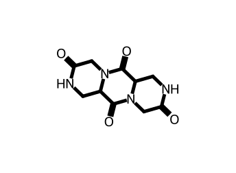 O=C1CN2C(=O)C3CNC(=O)CN3C(=O)C2CN1